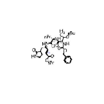 CCC[C@H](NC(=O)[C@@H](NC(=O)OCc1ccccc1)C(C)OC(C)(C)C)C(=O)N[C@H](/C=C/C(=O)OC(C)C)CC1CCNC1=O